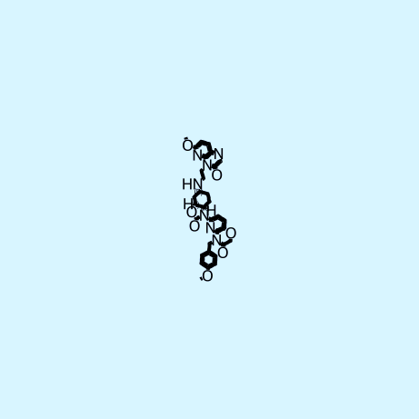 COc1ccc(CN2C(=O)COc3ccc(N4C(=O)O[C@@H]5C[C@H](NCCn6c(=O)cnc7ccc(OC)nc76)CC[C@H]54)nc32)cc1